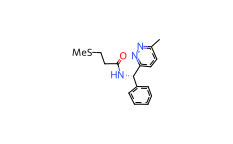 CSCCC(=O)N[C@@H](c1ccccc1)c1ccc(C)nn1